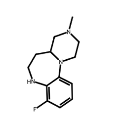 CN1CCN2c3cccc(F)c3NCCC2C1